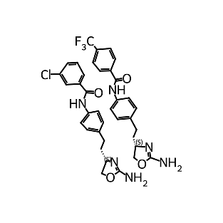 NC1=N[C@@H](CCc2ccc(NC(=O)c3ccc(C(F)(F)F)cc3)cc2)CO1.NC1=N[C@@H](CCc2ccc(NC(=O)c3cccc(Cl)c3)cc2)CO1